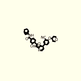 COc1cc(C(=O)NC2CC3CCC2C3)ccc1-c1cc2nccc(-c3ccc(OC4CCOCC4)c(C#N)c3)c2o1